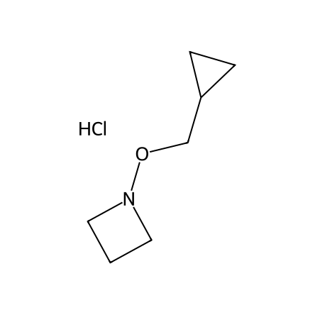 C1CN(OCC2CC2)C1.Cl